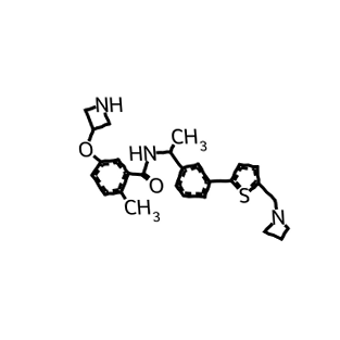 Cc1ccc(OC2CNC2)cc1C(=O)NC(C)c1cccc(-c2ccc(CN3CCC3)s2)c1